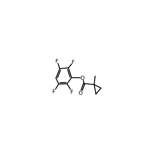 CC1(C(=O)Oc2c(F)c(F)cc(F)c2F)CC1